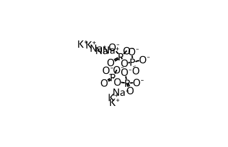 O=P([O-])([O-])OP(=O)([O-])[O-].O=P([O-])([O-])OP(=O)([O-])[O-].[K+].[K+].[K+].[K+].[Na+].[Na+].[Na+].[Na+]